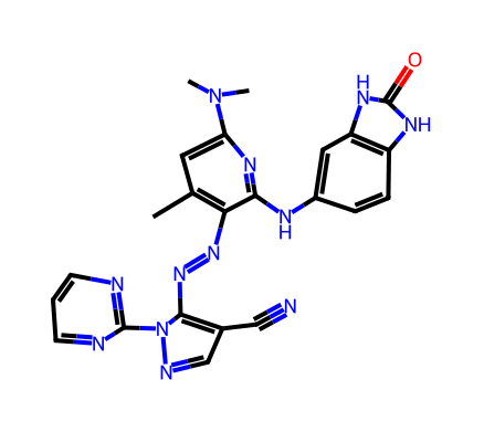 Cc1cc(N(C)C)nc(Nc2ccc3[nH]c(=O)[nH]c3c2)c1/N=N/c1c(C#N)cnn1-c1ncccn1